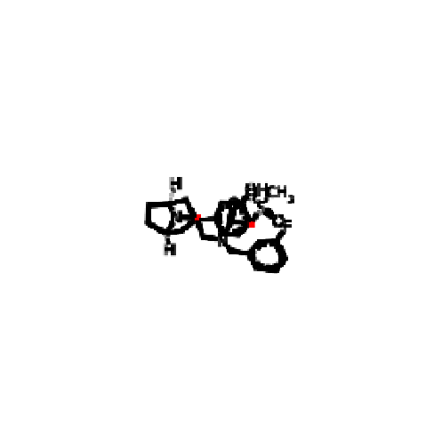 CS(=O)(=O)CC(=O)N(CCN1[C@@H]2CC[C@H]1C[C@@H](c1cccc(O)c1)C2)Cc1cccc(F)c1